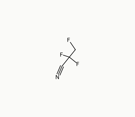 N#CC(F)(F)CF